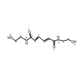 O=C(C=CC=CC(=O)NCCO)NCCO